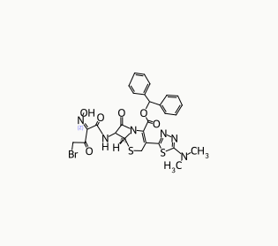 CN(C)c1nnc(C2=C(C(=O)OC(c3ccccc3)c3ccccc3)N3C(=O)C(NC(=O)/C(=N\O)C(=O)CBr)[C@H]3SC2)s1